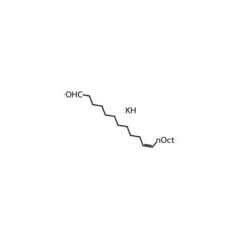 CCCCCCCC/C=C\CCCCCCCCC[C]=O.[KH]